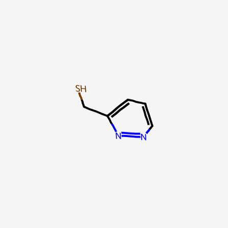 SCc1cccnn1